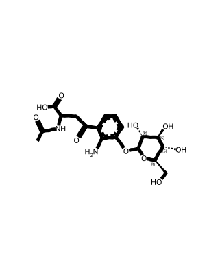 CC(=O)NC(CC(=O)c1cccc(OC2O[C@H](CO)[C@@H](O)[C@H](O)[C@H]2O)c1N)C(=O)O